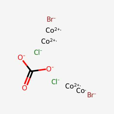 O=C([O-])[O-].[Br-].[Br-].[Cl-].[Cl-].[Co+2].[Co+2].[Co+2].[Co]